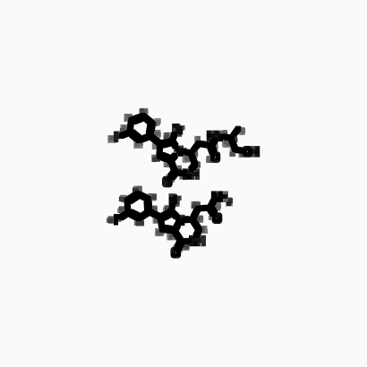 C[C@@H](CO)NC(=O)C[C@H]1CNC(=O)c2cc(-c3cccc(F)c3)c(Br)n21.NC(=O)CC1CNC(=O)c2cc(-c3cccc(F)c3)c(Br)n21